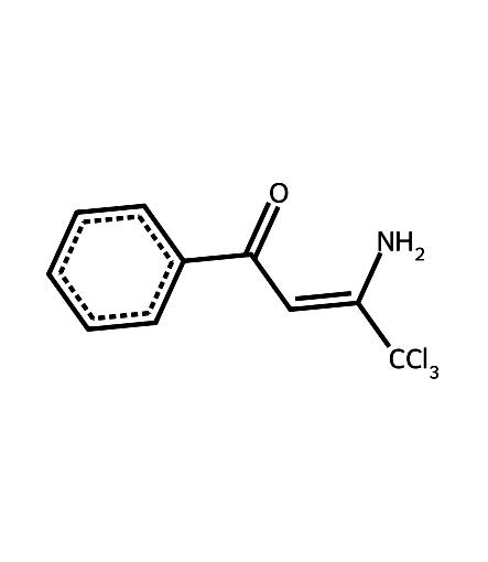 NC(=CC(=O)c1ccccc1)C(Cl)(Cl)Cl